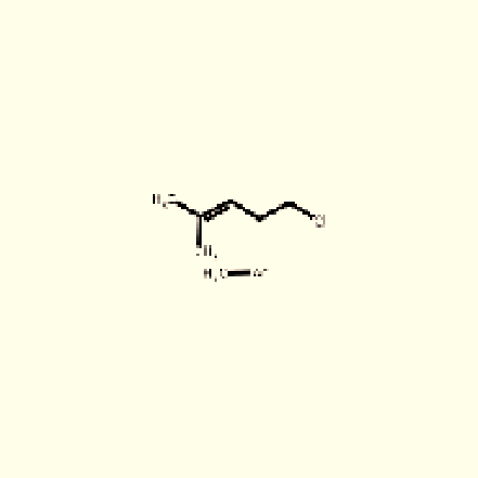 CC(C)=CCCCl.CC(C)=O